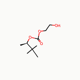 C[C@@H](OC(=O)OCCO)C(C)(C)C